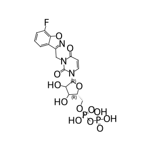 O=c1ccn([C@@H]2O[C@H](COP(=O)(O)OP(=O)(O)O)C(O)C2O)c(=O)n1Cc1noc2c(F)cccc12